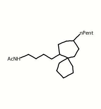 CCCCCC1CCC(CCCCNC(C)=O)C2(CCCCC2)CC1